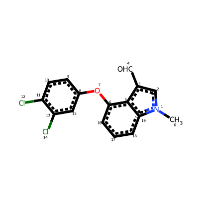 Cn1cc(C=O)c2c(Oc3ccc(Cl)c(Cl)c3)cccc21